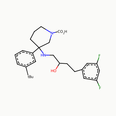 CC(C)(C)c1cccc(C2(NCC(O)CCc3cc(F)cc(F)c3)CCCN(C(=O)O)C2)c1